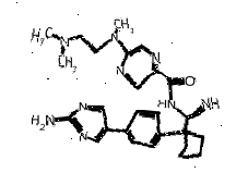 CN(C)CCN(C)c1cnc(C(=O)NC(=N)C2(c3ccc(-c4cnc(N)nc4)cc3)CCC2)cn1